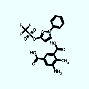 Cc1c(N)cc(C(=O)O)cc1C(=O)O.O=S(=O)(Oc1ccn(-c2ccccc2)n1)C(F)(F)F